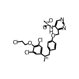 C[C@H](Cc1ccc(OCc2ncncc2NS(C)(=O)=O)cc1)c1cc(Cl)c(OCCCl)c(Cl)c1